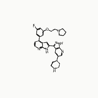 Fc1cc(OCCN2CCCC2)cc(-c2ccnc3[nH]c(-c4n[nH]c5ncc(C6CCNCC6)cc45)cc23)c1